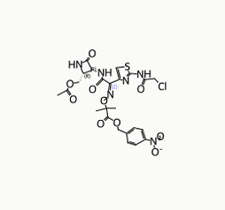 CC(=O)OC[C@@H]1NC(=O)[C@@H]1NC(=O)/C(=N\OC(C)(C)C(=O)OCc1ccc([N+](=O)[O-])cc1)c1csc(NC(=O)CCl)n1